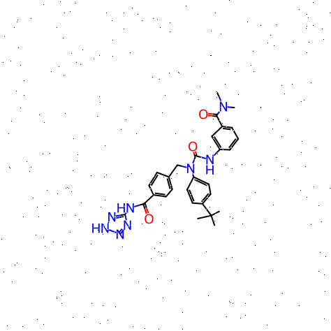 CN(C)C(=O)c1cccc(NC(=O)N(Cc2ccc(C(=O)Nc3nn[nH]n3)cc2)c2ccc(C(C)(C)C)cc2)c1